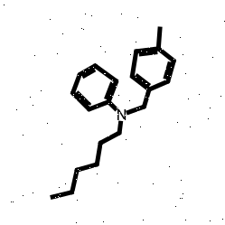 CCCCCCN(Cc1ccc(C)cc1)c1ccccc1